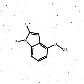 COc1cccc2c1cc(F)n2F